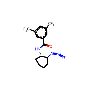 [N-]=[N+]=N[C@H]1CCCC[C@@H]1NC(=O)c1cc(C(F)(F)F)cc(C(F)(F)F)c1